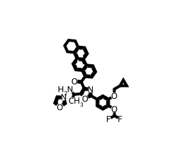 CC(N)c1oc(-c2ccc(OC(F)F)c(OCC3CC3)c2)nc1C(=O)c1cccc2c1ccc1c3c(ccc12)CCCC3.c1cocn1